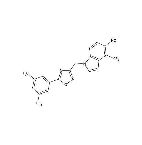 [C-]#[N+]c1ccc2c(ccn2Cc2noc(-c3cc(C(F)(F)F)cc(C(F)(F)F)c3)n2)c1C(F)(F)F